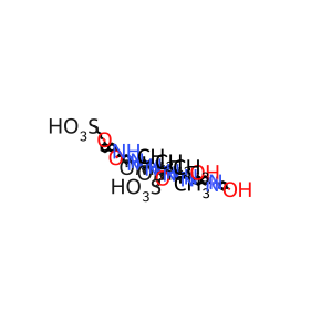 COc1cc(C(=O)Nc2ccc3c(OCCCCS(=O)(=O)O)cccc3c2)ccc1N=Nc1cc(OC)c(N=Nc2cc(OCCS(=O)(=O)O)c(N=Nc3cc(C)c(N=Nc4ccc5cc(/N=N/c6ccc(O)cc6)ccc5c4O)cc3C)cc2C)cc1C